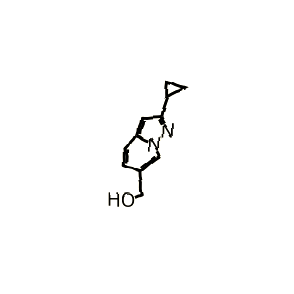 OCc1ccc2cc(C3CC3)nn2c1